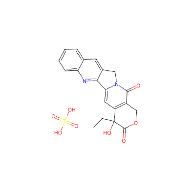 CCC1(O)C(=O)OCc2c1cc1n(c2=O)Cc2cc3ccccc3nc2-1.O=S(=O)(O)O